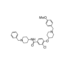 COc1ccc(CN2CCC(Oc3ccc(C(=O)NC4CCN(Cc5ccccc5)CC4)cc3Cl)CC2)cc1